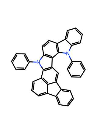 c1ccc(-n2c3ccc4c5ccccc5n(-c5ccccc5)c4c3c3cc4c5c(cccc5c32)-c2ccccc2-4)cc1